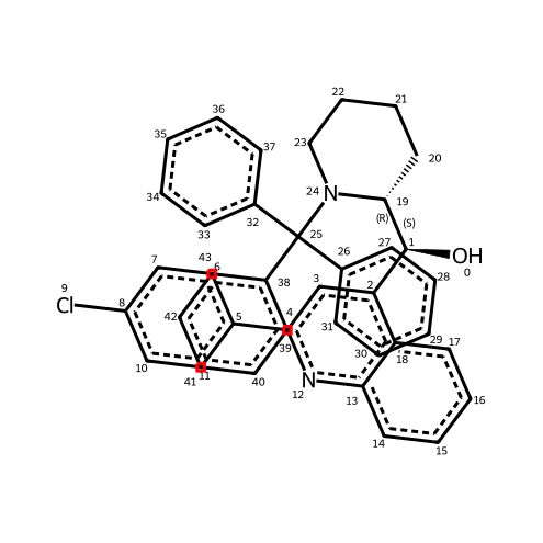 O[C@@H](c1cc(-c2ccc(Cl)cc2)nc2ccccc12)[C@H]1CCCCN1C(c1ccccc1)(c1ccccc1)c1ccccc1